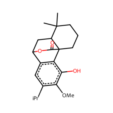 COc1c(C(C)C)cc2c(c1O)C13CCCC(C)(C)C1CC2OC3=O